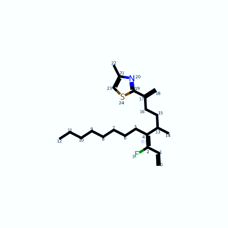 C=C/C(F)=C(/CCCCCCCC)C(C)CCC(=C)c1nc(C)cs1